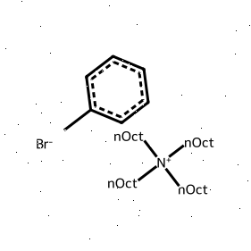 CCCCCCCC[N+](CCCCCCCC)(CCCCCCCC)CCCCCCCC.Cc1ccccc1.[Br-]